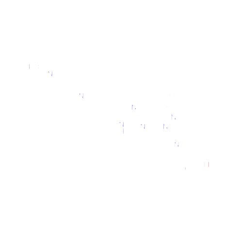 CN1CC2CN(c3ccc(Nc4ncc5c(=O)n6n(c5n4)-c4cccc(n4)[C@](C)(O)CC/C=C\C6)cc3)CC2C1